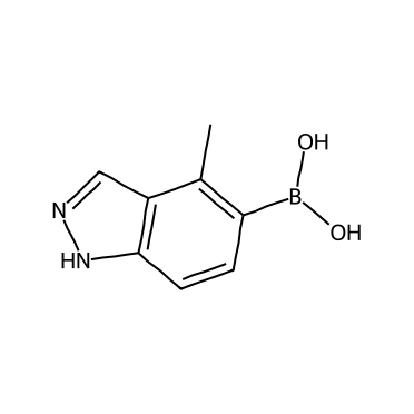 Cc1c(B(O)O)ccc2[nH]ncc12